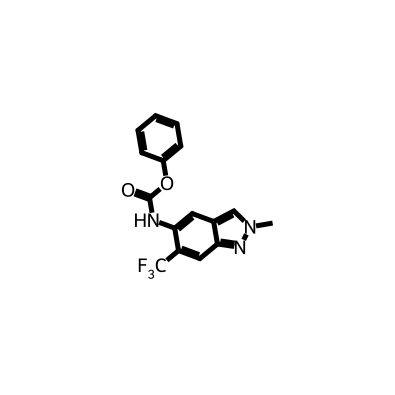 Cn1cc2cc(NC(=O)Oc3ccccc3)c(C(F)(F)F)cc2n1